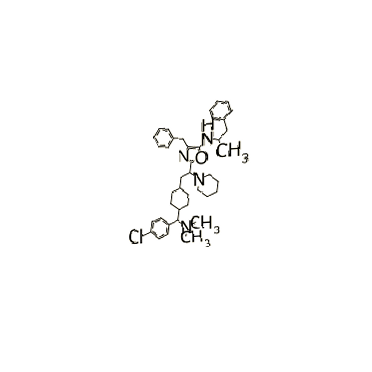 CC(Cc1ccccc1)Nc1oc(C(CC2CCC(C(c3ccc(Cl)cc3)N(C)C)CC2)N2CCCCC2)nc1Cc1ccccc1